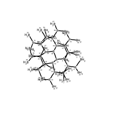 BBB(B)B(B(B(B)B)B(B)B)B(B(B(B(B)B)B(B)B)B(B(B)B)B(B)B)B(B(B(B(B)B)B(B)B)B(B(B)B)B(B)B)B(B(B(B)B)B(B)B)B(B(B)B)B(B)B